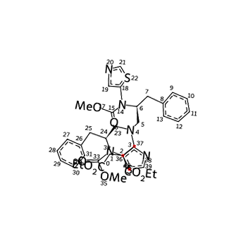 CCOC(=O)CC(CN(C[C@H](Cc1ccccc1)N(C(=O)OC)c1cncs1)C[C@H](Cc1ccccc1)N(C(=O)OC)c1cncs1)C(=O)OCC